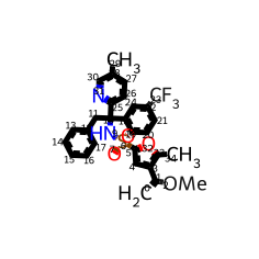 C=C(OC)c1cc(S(=O)(=O)NC(Cc2ccccc2)(c2cccc(C(F)(F)F)c2)c2ccc(C)cn2)oc1C